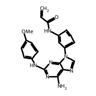 C=CC(=O)Nc1cccc(-n2cnc3c(N)nc(Nc4ccc(OC)cc4)nc32)c1